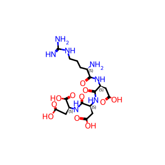 N=C(N)NCCC[C@H](N)C(=O)N[C@@H](CC(=O)O)C(=O)N[C@@H](CC(=O)O)C(=O)N[C@@H](CC(=O)O)C(=O)O